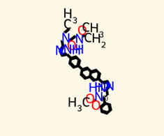 C=C(NCC(=O)N(CCC)Cc1ncc(-c2ccc(-c3ccc4cc(-c5cnc(C[C@H](NC(=O)OC)c6ccccc6)[nH]5)ccc4c3)cc2)[nH]1)OC